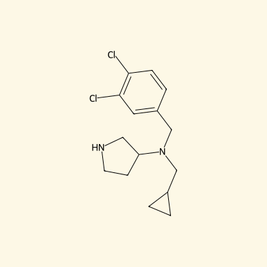 Clc1ccc(CN(CC2CC2)C2CCNC2)cc1Cl